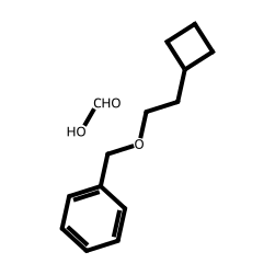 O=CO.c1ccc(COCCC2CCC2)cc1